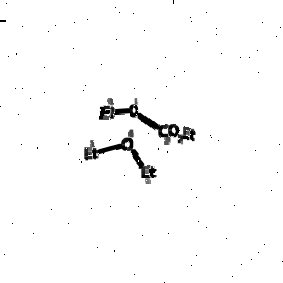 CCOC(=O)OCC.CCOCC